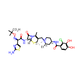 CC[C@@H]1C[C@H](NC(=O)c2ccc(O)c(O)c2Cl)CC[N@+]1(C)CC1=C(C)N2C(=O)[C@@H](NC(=O)/C(=N\OC(C)(C)C(=O)O)c3csc(N)n3)[C@H]2S[C@H]1C